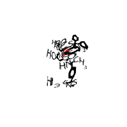 Cc1ncsc1-c1ccc(C(C)NC(=O)[C@H]2C[C@@H](O)CN2C(=O)C(NC(=O)O)C(C)(C)SC(c2ccccc2)(c2ccccc2)c2ccccc2)cc1